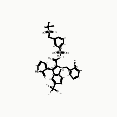 CC(C)(C)S(=O)(=O)Cc1cccc(S(=O)(=O)NC(=O)c2c(-c3ccc[nH]c3=O)c3cc(C(F)(F)F)ccc3n2Cc2ccccc2F)c1